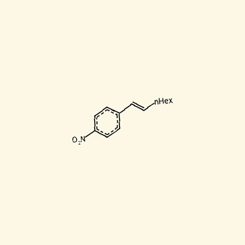 CCCCCCC=Cc1ccc([N+](=O)[O-])cc1